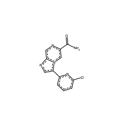 NC(=O)c1cn2c(-c3cccc(Cl)n3)cnc2cn1